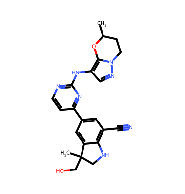 CC1CCn2ncc(Nc3nccc(-c4cc(C#N)c5c(c4)C(C)(CO)CN5)n3)c2O1